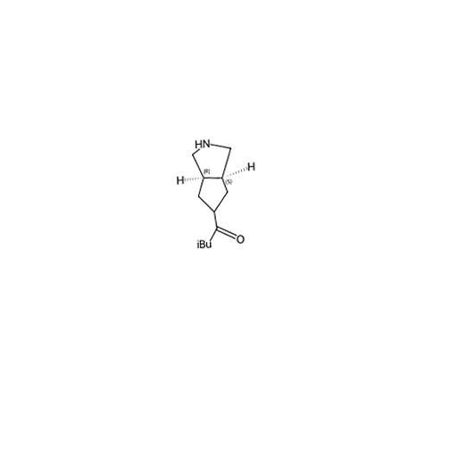 CCC(C)C(=O)C1C[C@H]2CNC[C@H]2C1